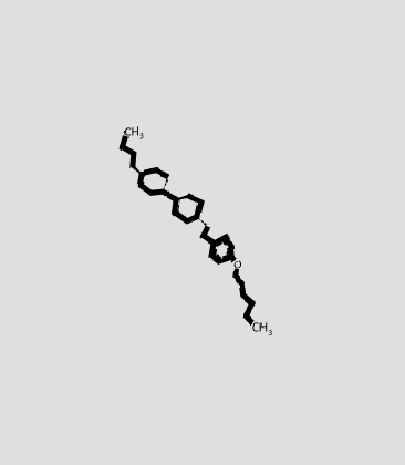 CCCCCCOc1ccc(CC[C@H]2CC[C@H]([C@H]3CC[C@H](CCCC)CC3)CC2)cc1